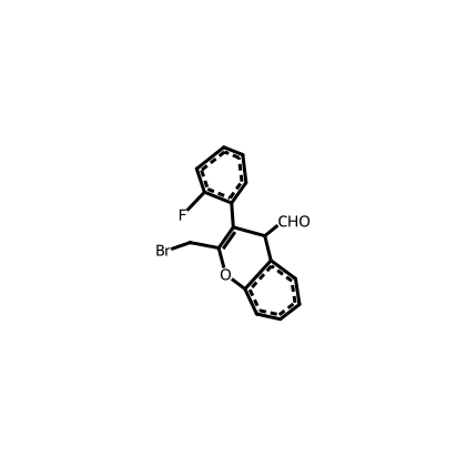 O=CC1C(c2ccccc2F)=C(CBr)Oc2ccccc21